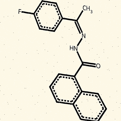 CC(=NNC(=O)c1cccc2ccccc12)c1ccc(F)cc1